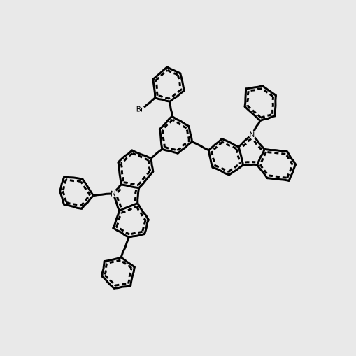 Brc1ccccc1-c1cc(-c2ccc3c(c2)c2ccc(-c4ccccc4)cc2n3-c2ccccc2)cc(-c2ccc3c4ccccc4n(-c4ccccc4)c3c2)c1